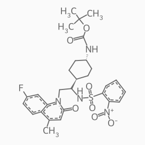 Cc1cc(=O)n(CC(NS(=O)(=O)c2ccccc2[N+](=O)[O-])[C@H]2CC[C@H](NC(=O)OC(C)(C)C)CC2)c2cc(F)ccc12